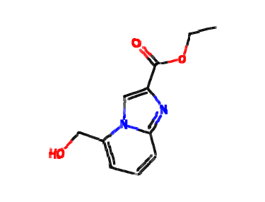 CCOC(=O)c1cn2c(CO)cccc2n1